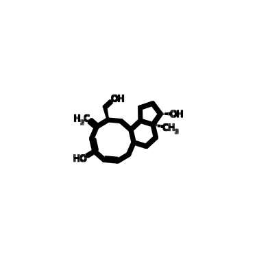 C=C1/C=C(O)\C=C/CC2CC[C@@]3(C)C(CC[C@@H]3O)C2C[C@@H]1CO